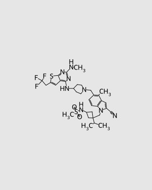 CNc1nc(NC2CCN(Cc3ccc4c(cc(C#N)n4CC4(C(C)C)CC(NS(C)(=O)=O)C4)c3C)CC2)c2cc(CC(F)(F)F)sc2n1